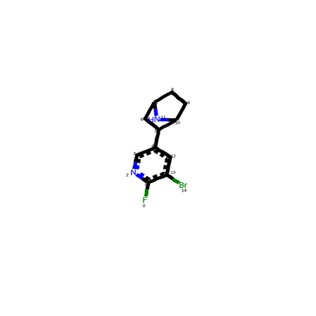 Fc1ncc(C2CC3CCC2N3)cc1Br